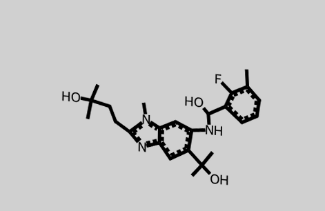 Cc1cccc(C(O)Nc2cc3c(cc2C(C)(C)O)nc(CCC(C)(C)O)n3C)c1F